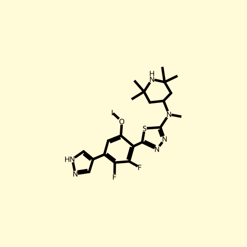 CN(c1nnc(-c2c(OI)cc(-c3cn[nH]c3)c(F)c2F)s1)C1CC(C)(C)NC(C)(C)C1